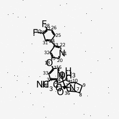 CC(C)(O)C(=O)N1C2CCC1CC(Oc1ncc(Oc3cncc(-c4ccc(F)c(F)c4)c3)cc1C#N)C2